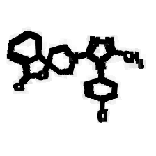 Cc1nnc(N2CCC3(CC2)OC(=O)c2ccccc23)n1-c1ccc(Cl)cc1